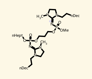 CCCCCCCCCCCCN1CCN(C)C1=NP(=O)(OCCCCCCC)OCCCOP(=O)(/N=C1/N(C)CCN1CCCCCCCCCCCC)OC